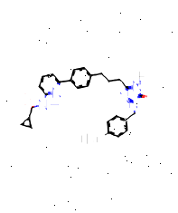 CCn1c(CCCc2ccc(-c3cccc(NC(=O)C4CC4)n3)cc2)nn(Cc2ccc(C(C)(C)C)cc2)c1=O